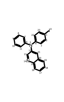 Ic1ccc(N(c2ccccc2)c2cnc3ccccc3c2)cc1